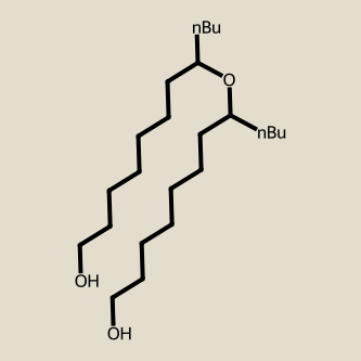 CCCCC(CCCCCCCO)OC(CCCC)CCCCCCCO